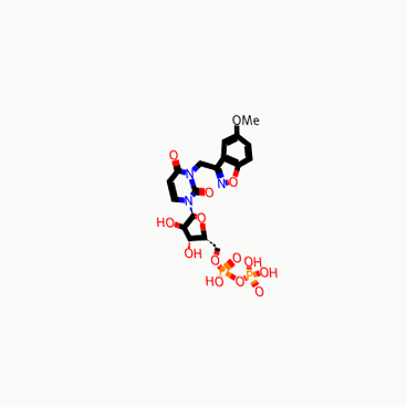 COc1ccc2onc(Cn3c(=O)ccn([C@@H]4O[C@H](COP(=O)(O)OP(=O)(O)O)[C@H](O)C4O)c3=O)c2c1